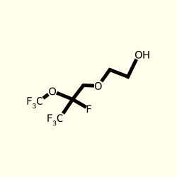 OCCOCC(F)(OC(F)(F)F)C(F)(F)F